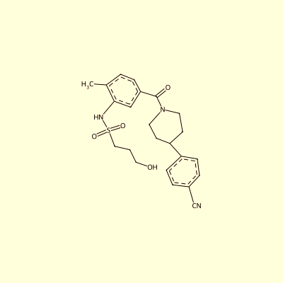 Cc1ccc(C(=O)N2CCC(c3ccc(C#N)cc3)CC2)cc1NS(=O)(=O)CCCO